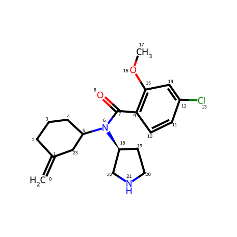 C=C1CCCC(N(C(=O)c2ccc(Cl)cc2OC)[C@H]2CCNC2)C1